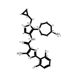 Nc1sc(-c2c(F)cccc2F)nc1C(=O)Nc1cnn(CC2CC2)c1N1CCC[C@@H](N)CC1